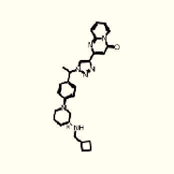 CC(c1ccc(N2CCC[C@@H](NCC3CCC3)C2)cc1)n1cc(-c2cc(=O)n3ccccc3n2)nn1